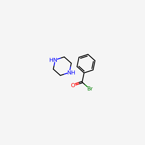 C1CNCCN1.O=C(Br)c1ccccc1